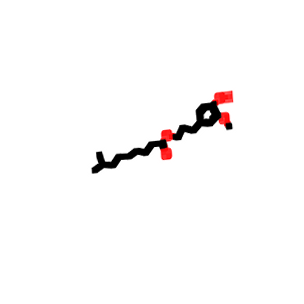 COc1cc(CCCOC(=O)CCCCCCC(C)C)ccc1O